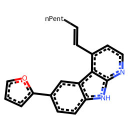 CCCCCC=Cc1ccnc2[nH]c3ccc(-c4ccco4)cc3c12